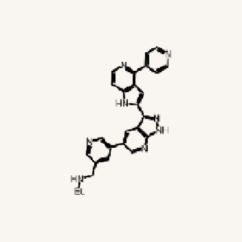 CCNCc1cncc(-c2cnc3[nH]nc(-c4cc5c(-c6ccncc6)nccc5[nH]4)c3c2)c1